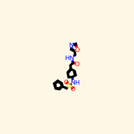 O=C(CC1=CCC(NS(=O)(=O)Cc2ccccc2)C=C1)NCc1cnco1